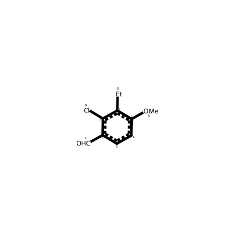 CCc1c(OC)ccc(C=O)c1Cl